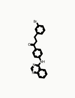 O=C(C[CH]c1cccc(Br)c1)c1ccc(Nc2ncnc3ccccc23)cc1